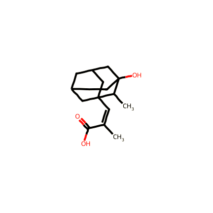 CC(=CC12CC3CC(CC(O)(C3)C1C)C2)C(=O)O